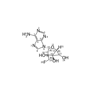 Nc1ncnc2c1ncn2[C@@H]1O[C@@H]2C(O)[C@]2(O)[C@]1(O)CF